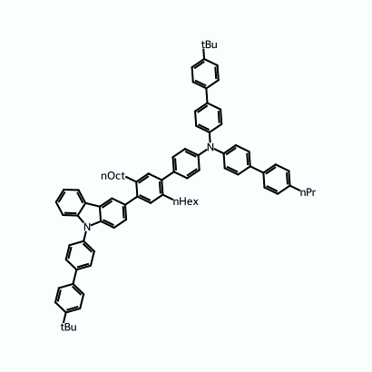 CCCCCCCCc1cc(-c2ccc(N(c3ccc(-c4ccc(CCC)cc4)cc3)c3ccc(-c4ccc(C(C)(C)C)cc4)cc3)cc2)c(CCCCCC)cc1-c1ccc2c(c1)c1ccccc1n2-c1ccc(-c2ccc(C(C)(C)C)cc2)cc1